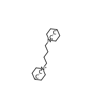 C(CC[N+]12CCC(CC1)CC2)C[N+]12CCC(CC1)CC2